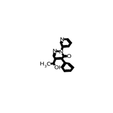 CC(O)c1cnn(-c2cccnc2)c(=O)c1-c1ccccc1